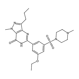 CCCc1nn(C)c2c(=O)[nH]c(-c3cc(OCC)cc(S(=O)(=O)N4CCN(C)CC4)c3)nc12